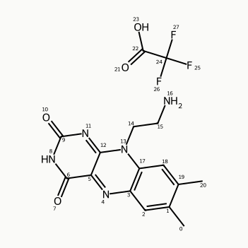 Cc1cc2nc3c(=O)[nH]c(=O)nc-3n(CCN)c2cc1C.O=C(O)C(F)(F)F